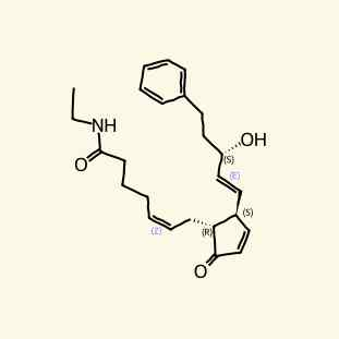 CCNC(=O)CCC/C=C\C[C@H]1C(=O)C=C[C@@H]1/C=C/[C@@H](O)CCc1ccccc1